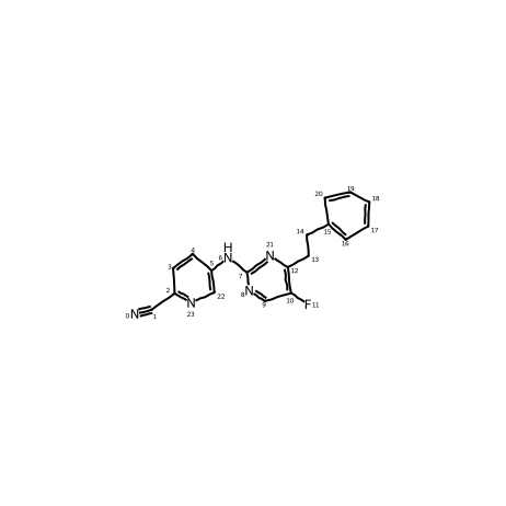 N#Cc1ccc(Nc2ncc(F)c(CCc3ccccc3)n2)cn1